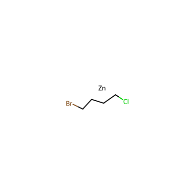 ClCCCCBr.[Zn]